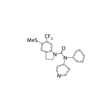 CSc1cc2c(cc1C(F)(F)F)N(C(=O)N(c1ccccc1)c1ccncc1)CC2